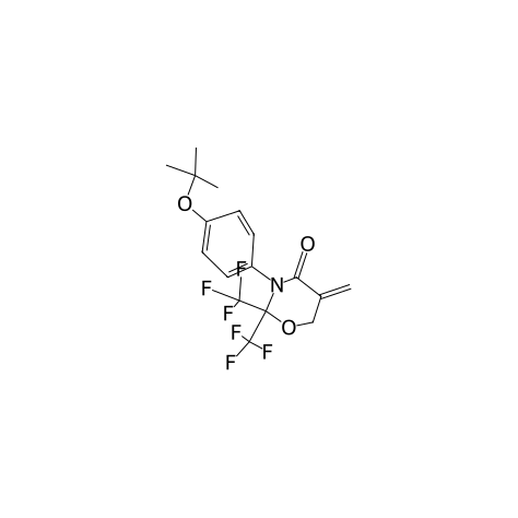 C=C1COC(C(F)(F)F)(C(F)(F)F)N(c2ccc(OC(C)(C)C)cc2)C1=O